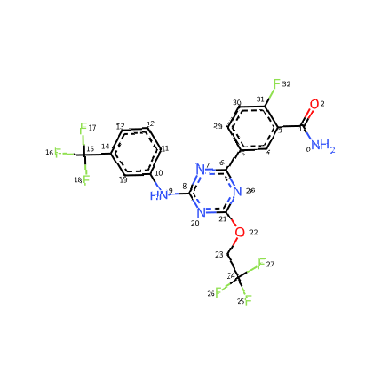 NC(=O)c1cc(-c2nc(Nc3cccc(C(F)(F)F)c3)nc(OCC(F)(F)F)n2)ccc1F